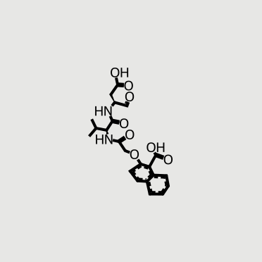 CC(C)[C@H](NC(=O)COc1ccc2ccccc2c1C(=O)O)C(=O)N[C@H](C=O)CC(=O)O